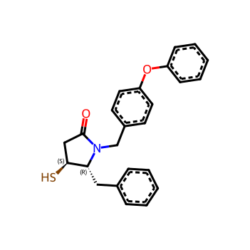 O=C1C[C@H](S)[C@@H](Cc2ccccc2)N1Cc1ccc(Oc2ccccc2)cc1